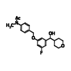 CC(=O)N(C)c1ccc(COc2cc(F)cc(C(O)C3CCOCC3)c2)cc1